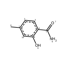 Cc1ccc(C(N)=O)c(O)c1